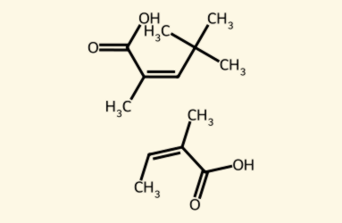 CC(=CC(C)(C)C)C(=O)O.CC=C(C)C(=O)O